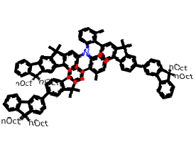 CCCCCCCCC1(CCCCCCCC)c2ccccc2-c2cc(-c3ccc4c(c3)C(C)(C)c3cc(-c5c(C)cccc5N(c5cccc(C)c5-c5ccc6c(c5)C(C)(C)c5cc(-c7ccc8c(c7)-c7ccccc7C8(CCCCCCCC)CCCCCCCC)ccc5-6)c5cc6c(c7ccccc57)-c5cc7c(cc5C6(C)C)-c5ccccc5C7(CCCCCCCC)CCCCCCCC)ccc3-4)ccc21